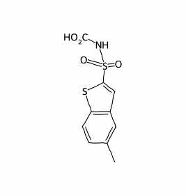 Cc1ccc2sc(S(=O)(=O)NC(=O)O)cc2c1